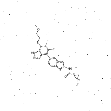 COCCSc1c(F)c(Cl)c(-c2ccc3nc(NC(=O)[C@@H]4C[C@@H]4F)sc3c2)c2cn[nH]c12